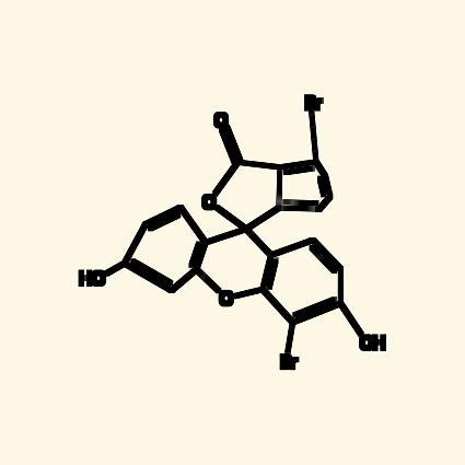 O=C1OC2(c3ccc(O)cc3Oc3c2ccc(O)c3Br)c2cccc(Br)c21